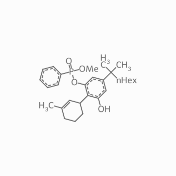 CCCCCCC(C)(C)c1cc(O)c(C2C=C(C)CCC2)c(OP(=O)(OC)c2ccccc2)c1